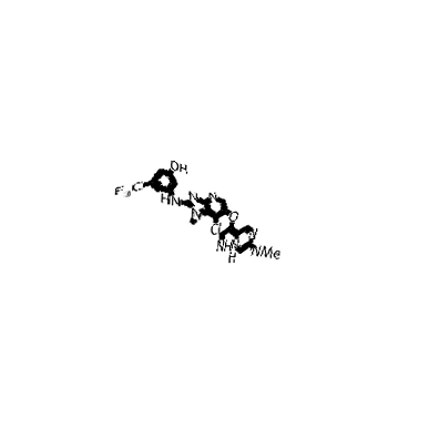 CNC1=CN/C(=C(\C=N)Oc2cnc3nc(Nc4cc(O)cc(C(F)(F)F)c4)n(C)c3c2Cl)C=N1